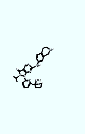 CC(C)n1c(=O)c2cnc(Nc3ccc4c(c3)CNCC4)nc2n1-c1cccc(C2(O)CCC2)n1